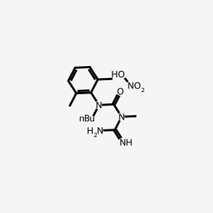 CCCCN(C(=O)N(C)C(=N)N)c1c(C)cccc1C.O=[N+]([O-])O